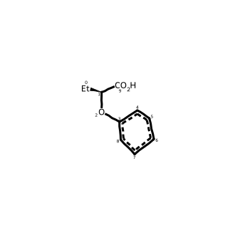 CC[C@H](Oc1ccccc1)C(=O)O